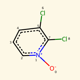 [O-][n+]1cccc(Cl)c1Cl